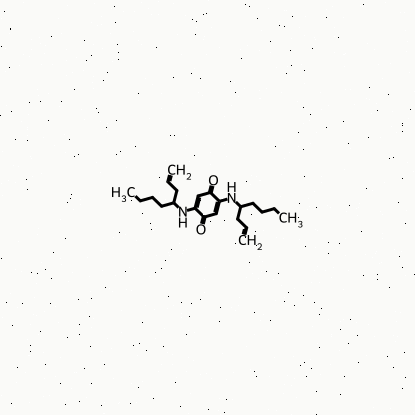 C=CCC(CCCC)NC1=CC(=O)C(NC(CC=C)CCCC)=CC1=O